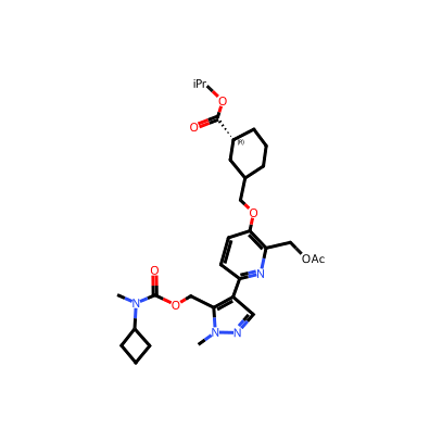 CC(=O)OCc1nc(-c2cnn(C)c2COC(=O)N(C)C2CCC2)ccc1OCC1CCC[C@@H](C(=O)OC(C)C)C1